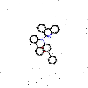 c1ccc(-c2ccc(N(c3ccccc3-c3ccccc3)c3nc4ccccc4c4ccccc34)cc2)cc1